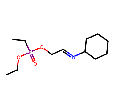 CCOP(=O)(CC)OCC=NC1CCCCC1